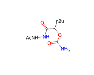 CCCCC(OC(N)=O)C(=O)NNC(C)=O